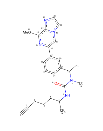 C#CCCCC(NC(=O)N(CC)C(C)c1cccc(-c2cn3ccnc3c(OC)n2)c1)C(F)(F)F